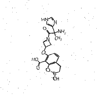 CC(N)(C(=O)N1CC(Oc2ccc3c(c2C(=O)O)OB(O)CC3)C1)c1c[nH]cn1